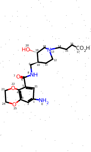 Nc1cc2c(c(C(=O)NC[C@@H]3CCN(CCCC(=O)O)C[C@H]3O)c1)OCCO2